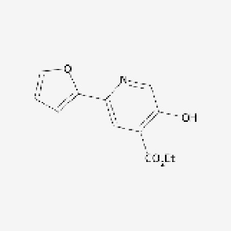 CCOC(=O)c1cc(-c2ccco2)ncc1O